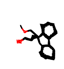 COCC1(CCO)c2ccccc2-c2ccccc21